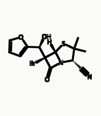 CC1(C)S[C@@H]2N(C(=O)[C@]2(Br)[C@H](O)c2ccco2)[C@H]1C#N